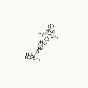 Cc1nn(C2CCCCO2)c(=O)c(C)c1-c1ccc(Oc2nccc3c2ccn3COCC[Si](C)(C)C)cc1